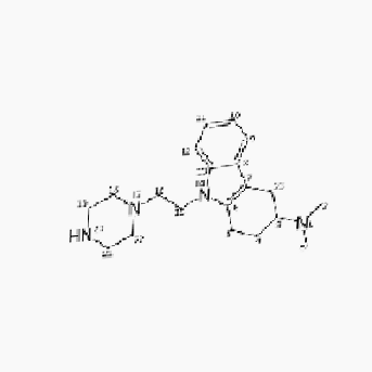 CN(C)C1CCc2c(c3ccccc3n2CCN2CCNCC2)C1